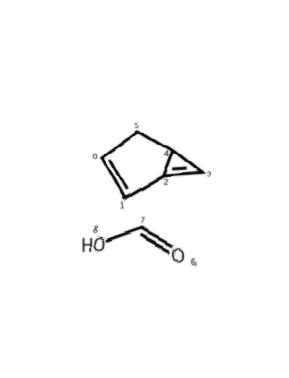 C1=CC2=CC2C1.O=CO